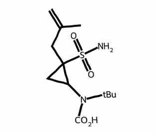 C=C(C)CC1(S(N)(=O)=O)CC1N(C(=O)O)C(C)(C)C